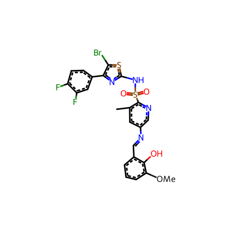 COc1cccc(C=Nc2cnc(S(=O)(=O)Nc3nc(-c4ccc(F)c(F)c4)c(Br)s3)c(C)c2)c1O